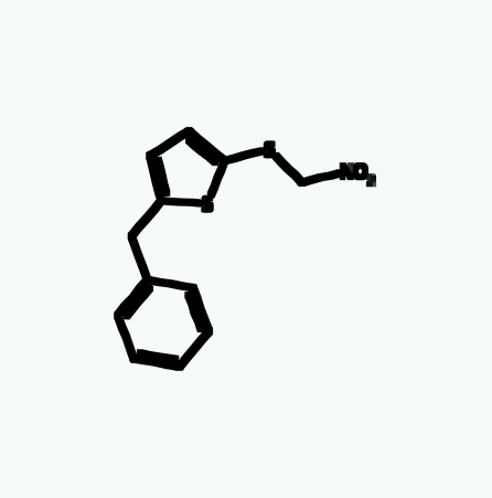 O=[N+]([O-])CSc1ccc(Cc2ccccc2)s1